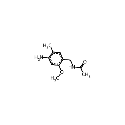 COc1cc(N)c(C)cc1CNC(C)=O